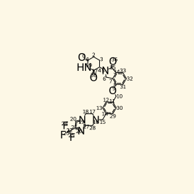 O=C1CCC(N2Cc3c(OCc4ccc(CN5CCn6cc(C(F)(F)F)nc6C5)cc4)cccc3C2=O)C(=O)N1